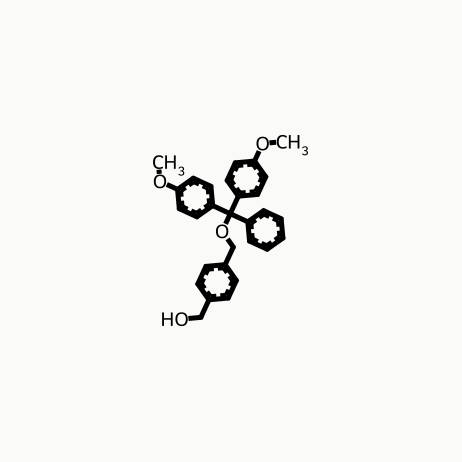 COc1ccc(C(OCc2ccc(CO)cc2)(c2ccccc2)c2ccc(OC)cc2)cc1